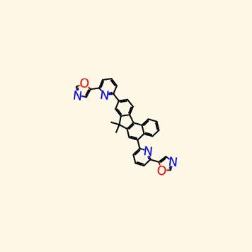 CC1(C)c2cc(-c3cccc(-c4cnco4)n3)ccc2-c2c1cc(-c1cccc(-c3cnco3)n1)c1ccccc21